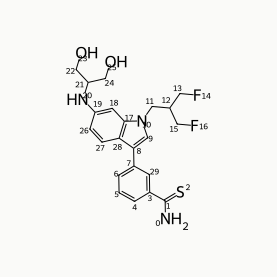 NC(=S)c1cccc(-c2cn(CC(CF)CF)c3cc(NC(CO)CO)ccc23)c1